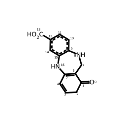 O=C1CC=CC2=C1CNc1ccc(C(=O)O)cc1N2